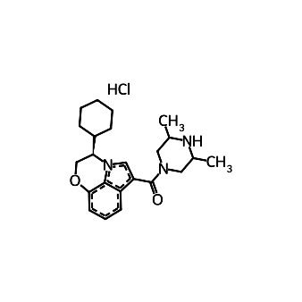 CC1CN(C(=O)c2cn3c4c(cccc24)OC[C@H]3C2CCCCC2)CC(C)N1.Cl